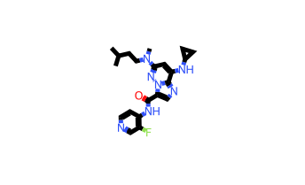 CC(C)CCN(C)c1cc(NC2CC2)c2ncc(C(=O)Nc3ccncc3F)n2n1